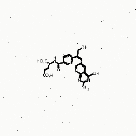 Nc1nc(O)c2cc(/C=C(/CO)c3ccc(C(=O)NC(CCC(=O)O)C(=O)O)cc3)cnc2n1